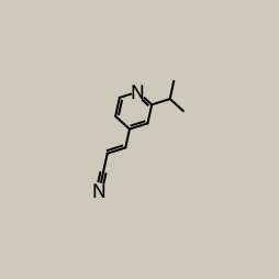 CC(C)c1cc(/C=C/C#N)ccn1